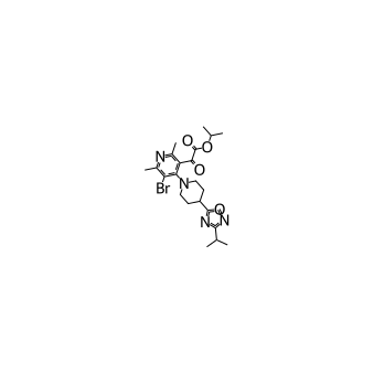 Cc1nc(C)c(C(=O)C(=O)OC(C)C)c(N2CCC(c3nc(C(C)C)no3)CC2)c1Br